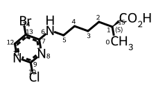 C[C@@H](CCCCNc1nc(Cl)ncc1Br)C(=O)O